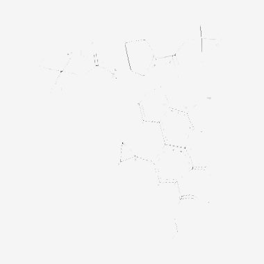 CCOC(=O)c1cn(C2CC2)c2c(/C=C\C[C@@H]3[C@H](NC(=O)OC(C)(C)C)CCN3C(=O)OC(C)(C)C)c(F)c(F)cc2c1=O